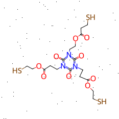 O=C(CCS)OCCn1c(=O)n(CCC(=O)OCCS)c(=O)n(CCC(=O)OCCS)c1=O